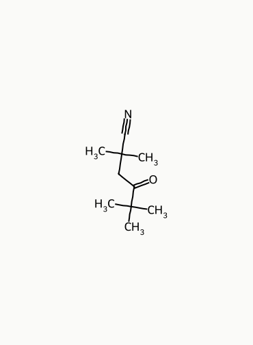 CC(C)(C#N)CC(=O)C(C)(C)C